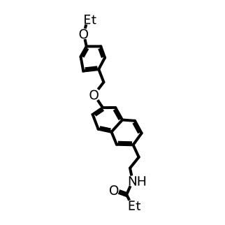 CCOc1ccc(COc2ccc3cc(CCNC(=O)CC)ccc3c2)cc1